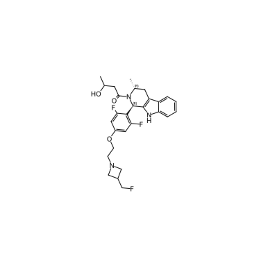 CC(O)CC(=O)N1[C@H](c2c(F)cc(OCCN3CC(CF)C3)cc2F)c2[nH]c3ccccc3c2C[C@H]1C